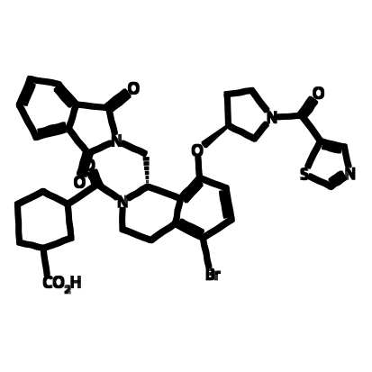 O=C(O)C1CCCC(C(=O)N2CCc3c(Br)ccc(O[C@H]4CCN(C(=O)c5cncs5)C4)c3[C@H]2CN2C(=O)c3ccccc3C2=O)C1